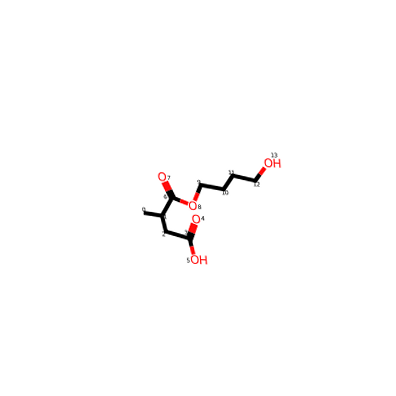 CC(CC(=O)O)C(=O)OCCCCO